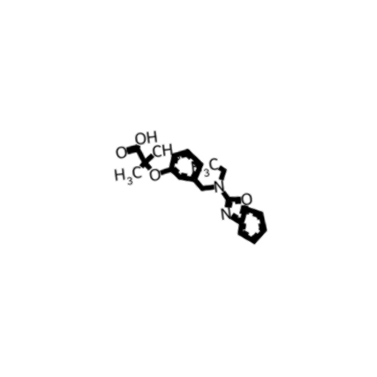 CCN(Cc1cccc(OC(C)(C)C(=O)O)c1)c1nc2ccccc2o1